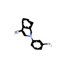 N#CC1=CN(c2cccc(C(F)(F)F)c2)Cc2ccccc21